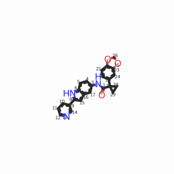 O=C(Nc1ccc2[nH]c(-c3cccnc3)cc2c1)C1(c2ccc3c(c2)OCO3)CC1